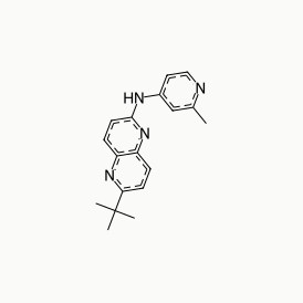 Cc1cc(Nc2ccc3nc(C(C)(C)C)ccc3n2)ccn1